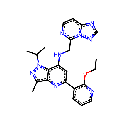 CCOc1ncccc1-c1cc(NCc2nccc3ncnn23)c2c(n1)c(C)nn2C(C)C